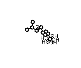 Oc1c(O)c(O)c(-c2ccc3ccc4c(-c5cccc6oc7c(-c8cc(-c9ccccc9)cc(-c9ccccc9)c8)cccc7c56)ccc5ccc2c3c54)c(O)c1O